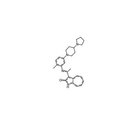 C/C(=N\c1cc(N2CCC(N3CCCC3)CC2)ccc1C)c1c2cccccc-2[nH]c1=O